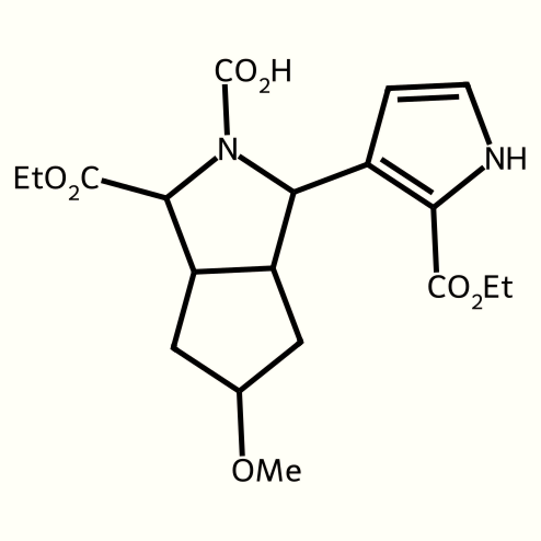 CCOC(=O)c1[nH]ccc1C1C2CC(OC)CC2C(C(=O)OCC)N1C(=O)O